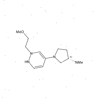 CN[C@H]1CCN(C2=CN(CCOC)NC=C2)C1